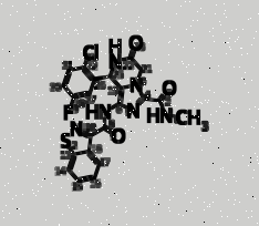 CNC(=O)c1nc(NC(=O)c2nsc3ccccc23)c2n1CC(=O)N[C@@H]2c1cc(F)ccc1Cl